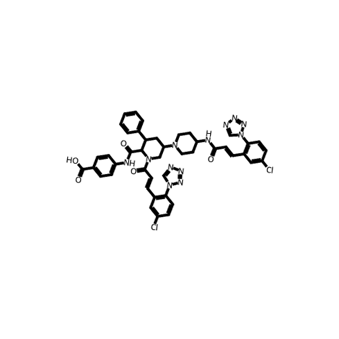 O=C(/C=C/c1cc(Cl)ccc1-n1cnnn1)NC1CCN(C2CC(c3ccccc3)C(C(=O)Nc3ccc(C(=O)O)cc3)N(C(=O)/C=C/c3cc(Cl)ccc3-n3cnnn3)C2)CC1